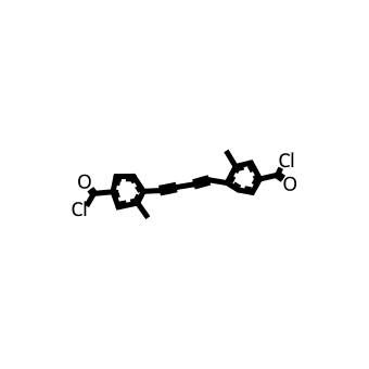 Cc1cc(C(=O)Cl)ccc1C#CC#Cc1ccc(C(=O)Cl)cc1C